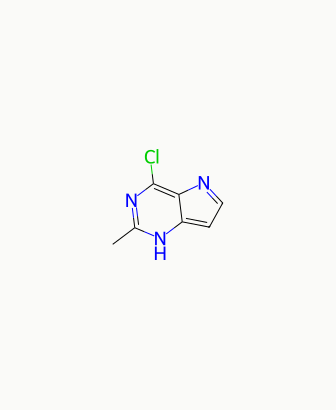 Cc1nc(Cl)c2nccc-2[nH]1